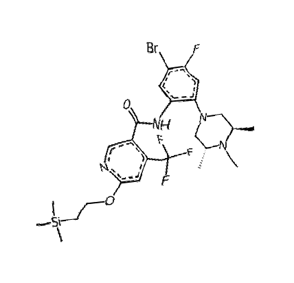 C[C@@H]1CN(c2cc(F)c(Br)cc2NC(=O)c2cnc(OCC[Si](C)(C)C)cc2C(F)(F)F)C[C@@H](C)N1C